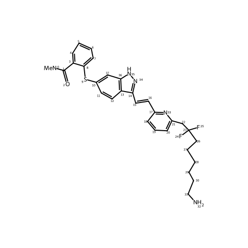 CNC(=O)c1ccccc1Sc1ccc2c(/C=C/c3cccc(CC(F)(F)CCCCCCN)n3)n[nH]c2c1